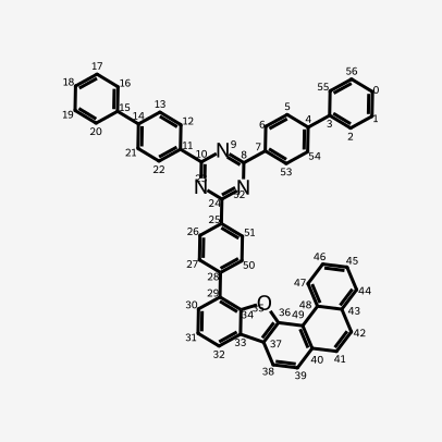 c1ccc(-c2ccc(-c3nc(-c4ccc(-c5ccccc5)cc4)nc(-c4ccc(-c5cccc6c5oc5c6ccc6ccc7ccccc7c65)cc4)n3)cc2)cc1